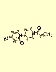 C=CC(=O)N1CCC(n2ccc(Br)cc2=O)CC1